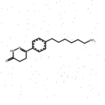 NCCCCCCc1ccc(C2=NNC(=O)CC2)cc1